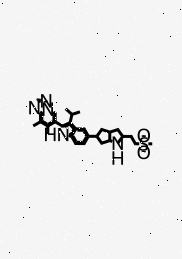 Cc1c(-c2[nH]c3ccc(C4CC5CC(CCS(C)(=O)=O)NC5C4)cc3c2C(C)C)cn2ncnc2c1C